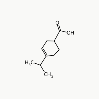 CC(C)C1=CCC(C(=O)O)CC1